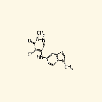 Cn1ncc(Nc2ccc3c(ccn3C)c2)c(Cl)c1=O